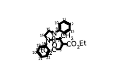 C=C(C(CC(=O)OCC)C(=O)OCC)P1(=O)N(c2ccccc2)CCN1c1ccccc1